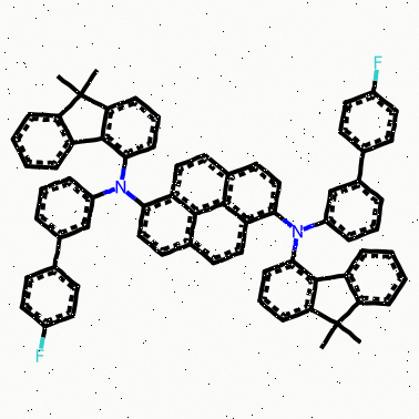 CC1(C)c2ccccc2-c2c(N(c3cccc(-c4ccc(F)cc4)c3)c3ccc4ccc5c(N(c6cccc(-c7ccc(F)cc7)c6)c6cccc7c6-c6ccccc6C7(C)C)ccc6ccc3c4c65)cccc21